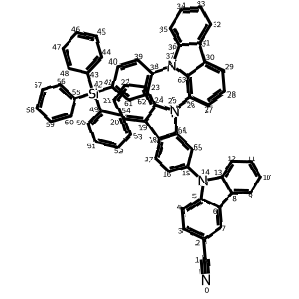 N#Cc1ccc2c(c1)c1ccccc1n2-c1ccc2c3ccccc3n(-c3cccc4c5ccccc5n(-c5ccc([Si](c6ccccc6)(c6ccccc6)c6ccccc6)cc5)c34)c2c1